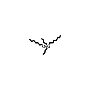 CCCCCCC[O][Sn]([CH2]CCC)([CH2]CCC)[O]CCCCCCC